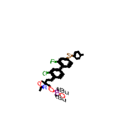 CC1=NC(CCc2ccc(-c3ccc(Sc4ccc(C)cc4)cc3F)cc2Cl)(COP(=O)(C(C)(C)C)C(C)(C)C)CO1